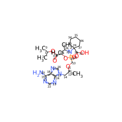 CC(C)OC(=O)COP(=O)(CO[C@H](C)Cn1cnc2c(N)ncnc21)N(C(C)C)C1(C(=O)O)CCCCC1